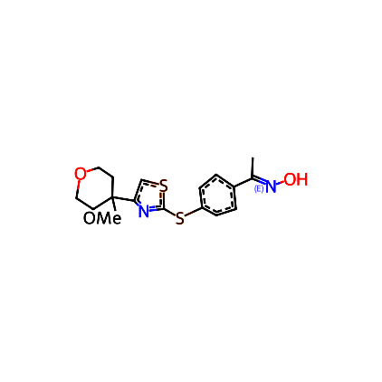 COC1(c2csc(Sc3ccc(/C(C)=N/O)cc3)n2)CCOCC1